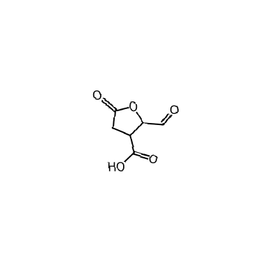 O=CC1OC(=O)CC1C(=O)O